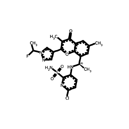 Cc1cc([C@@H](C)Nc2ccc(Cl)nc2S(N)(=O)=O)c2oc(-c3cnn(C(C)F)c3)c(C)c(=O)c2c1